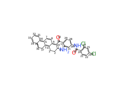 NC1CCc2c3c(ccc2=C1C(=O)c1ccc(NC(=O)c2ccc(Cl)cc2Cl)cc1)=c1ccccc1=CC3